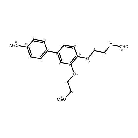 COCCOc1cc(-c2ccc(OC)cc2)ccc1OCCOC=O